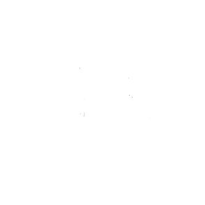 CCS(=O)(=O)Nc1cccc2c1CN(C[C](C)C)C2